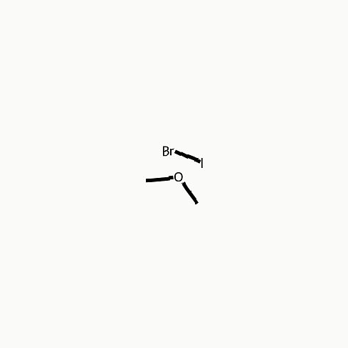 BrI.COC